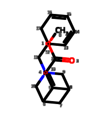 COC(=O)C=C1C2CC1CN(CC1C=CC=CC1)C2